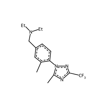 CCN(CC)Cc1ccc(-n2nc(C(F)(F)F)nc2C)c(C)c1